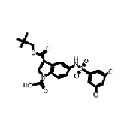 CC(C)(C)COC(=O)C1CN(C(=O)O)c2ccc(NS(=O)(=O)c3cc(Cl)cc(Cl)c3)cc21